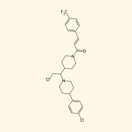 O=C(C=Cc1ccc(C(F)(F)F)cc1)N1CCC(C(CCl)N2CCC(c3ccc(Cl)cc3)CC2)CC1